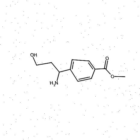 COC(=O)c1ccc(C(N)CCO)cc1